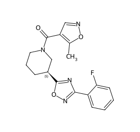 Cc1oncc1C(=O)N1CCC[C@H](c2nc(-c3ccccc3F)no2)C1